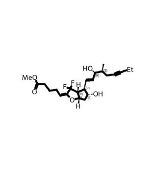 CCC#CC[C@H](C)[C@@H](O)C=C[C@@H]1[C@@H]2[C@H](C[C@H]1O)OC(=CCCCC(=O)OC)C2(F)F